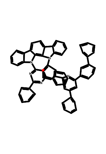 c1ccc(-c2cccc(-c3cc(-c4ccccc4)cc(-c4cccc(-n5c6ccccc6c6ccc7c8ccccc8n(-c8nc(-c9ccccc9)nc(-c9ccccc9)n8)c7c65)c4)n3)c2)cc1